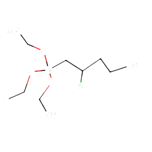 CCCC(Br)C[Si](OCC)(OCC)OCC